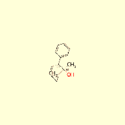 C=C[C@H](c1ccccc1)[C@@](C)(O)C1CC1